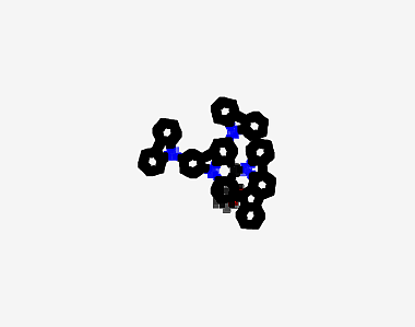 CC1(C)c2ccccc2-c2ccc3c4ccccc4n(B4c5ccccc5-n5c6ccc(-n7c8ccccc8c8ccccc87)cc6c6cc(-n7c8ccccc8c8ccccc87)cc4c65)c3c21